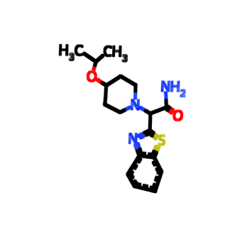 CC(C)OC1CCN(C(C(N)=O)c2nc3ccccc3s2)CC1